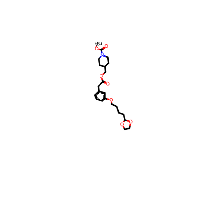 CC(C)(C)OC(=O)N1CCC(COC(=O)Cc2cccc(OCCCCC3OCCO3)c2)CC1